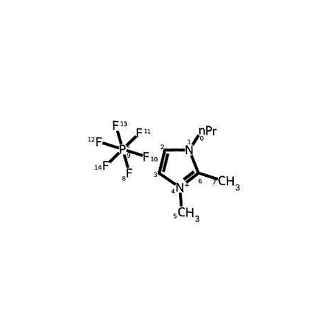 CCCn1cc[n+](C)c1C.F[P-](F)(F)(F)(F)F